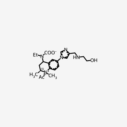 CCN(C(=O)[O-])C1C[C@H](C)[N@+](C)(C(C)=O)c2ccc(-n3cnc(CNCCO)c3)cc21